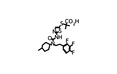 CC1CCC(N(CCc2ccc(F)c(F)c2F)C(=O)Nc2ncc(SC(C)(C)C(=O)O)s2)CC1